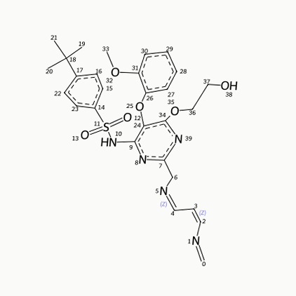 C=N/C=C\C=N/Cc1nc(NS(=O)(=O)c2ccc(C(C)(C)C)cc2)c(Oc2ccccc2OC)c(OCCO)n1